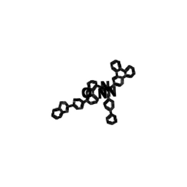 c1ccc(-c2ccc(-c3nc(-c4ccc5c6ccccc6c6ccccc6c5c4)nc(-c4cccc5oc6c(-c7ccc(-c8ccc9ccccc9c8)cc7)cccc6c45)n3)cc2)cc1